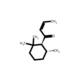 C/C=C\C(=O)[C@H]1[C@H](C)CCCC1(C)C